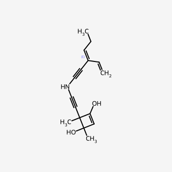 C=C/C(C#CNC#CC1(C)C(O)=CC1(C)O)=C\CC